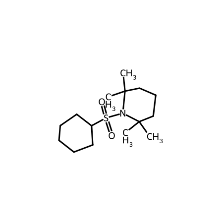 CC1(C)CCCC(C)(C)N1S(=O)(=O)C1CCCCC1